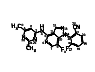 Cc1cc(Nc2ncc(F)c3c2cnn3-c2c(F)cccc2C#N)nc(C)n1